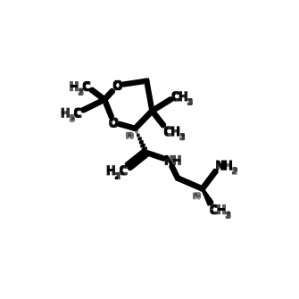 C=C(NC[C@H](C)N)[C@@H]1OC(C)(C)OCC1(C)C